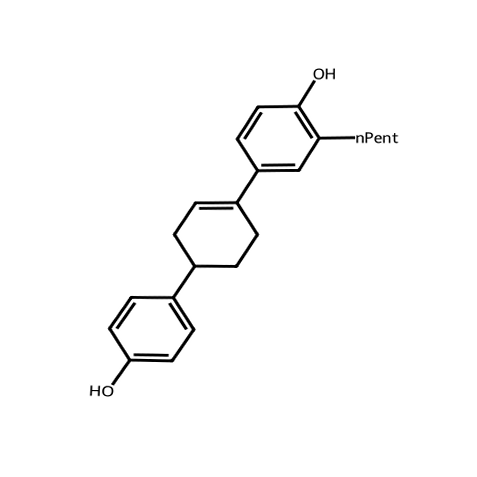 CCCCCc1cc(C2=CCC(c3ccc(O)cc3)CC2)ccc1O